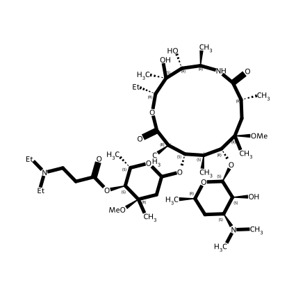 CC[C@H]1OC(=O)[C@H](C)[C@@H](OC2C[C@@](C)(OC)[C@@H](OC(=O)CCN(CC)CC)[C@H](C)O2)[C@H](C)[C@@H](O[C@@H]2O[C@H](C)C[C@H](N(C)C)[C@@H]2O)[C@](C)(OC)C[C@@H](C)C(=O)N[C@H](C)[C@@H](O)[C@]1(C)O